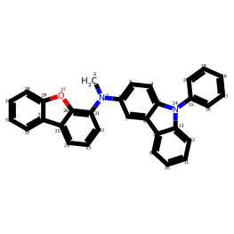 CN(c1ccc2c(c1)c1ccccc1n2-c1ccccc1)c1cccc2c1oc1ccccc12